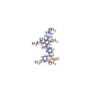 COc1nc(C)ccc1-c1c(CO)sc2cnc(Nc3cc(C)c(N4CCN(C)CC4)cc3OC(C)C)nc12